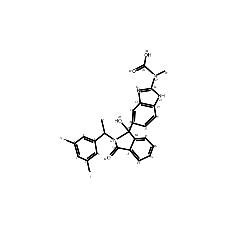 CC(c1cc(F)cc(F)c1)N1C(=O)c2ccccc2C1(O)c1ccc2[nH]c(N(C)C(=O)O)nc2c1